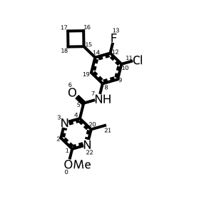 COc1cnc(C(=O)Nc2cc(Cl)c(F)c(C3CCC3)c2)c(C)n1